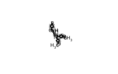 COc1ccc(-c2nc(SCCNC(=O)c3ccc(F)cc3)[nH]c2-c2ccc(OC)cc2)cc1